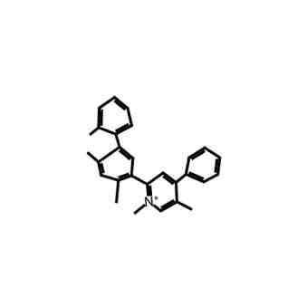 Cc1c[n+](C)c(-c2cc(-c3ccccc3C)c(C)cc2C)cc1-c1ccccc1